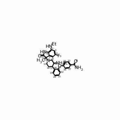 CCNc1cc(F)cc2c1NC(=O)C2(C)N1CCC(c2ccccc2Oc2ccc(C(N)=O)cc2)C(NC(C)=O)C1